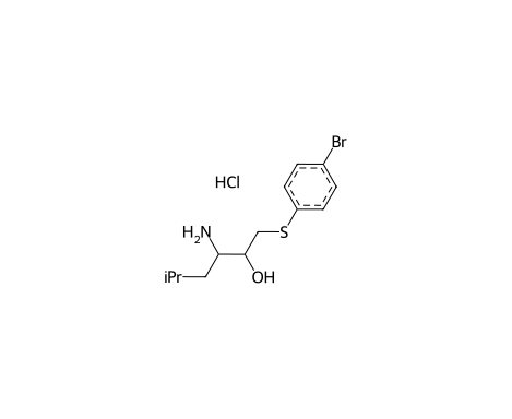 CC(C)CC(N)C(O)CSc1ccc(Br)cc1.Cl